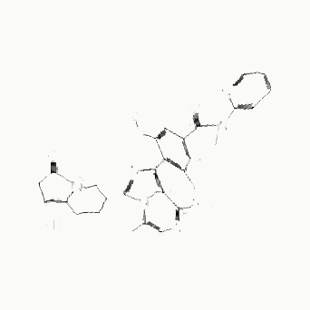 CCOc1cc(C(=O)Nc2ccccn2)cc(F)c1-c1nc([C@@H]2CC[C@H]3CCC(=O)N3C2)n2c(F)cnc(N)c12